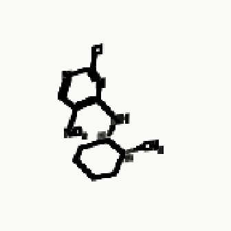 C[C@@H]1CCCC[C@@H]1Nc1nc(Cl)ncc1[N+](=O)[O-]